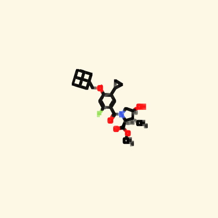 COC(=O)[C@@H]1[C@@H](C)[C@H](O)CN1C(=O)c1cc(C2CC2)c(OCC23CC4CC5CC(C2)C543)cc1F